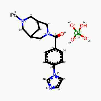 CC(C)N1CC2CC(CN(C(=O)c3ccc(-n4ccnc4)cc3)C2)C1.[O-][Cl+3]([O-])([O-])O